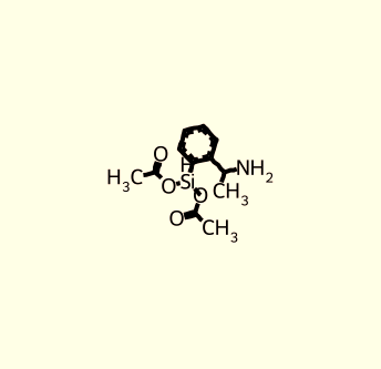 CC(=O)O[SiH](OC(C)=O)c1ccccc1C(C)N